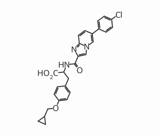 O=C(NC(Cc1ccc(OCC2CC2)cc1)C(=O)O)c1cn2cc(-c3ccc(Cl)cc3)ccc2n1